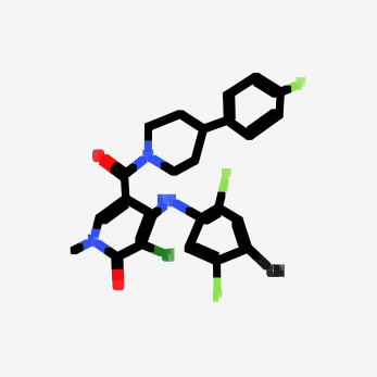 Cn1cc(C(=O)N2CCC(c3ccc(F)cc3)CC2)c(Nc2cc(F)c(C#N)cc2F)c(Cl)c1=O